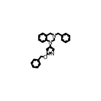 c1ccc(COn2cc(N3CN(Cc4ccccc4)Cc4ccccc43)cn2)cc1